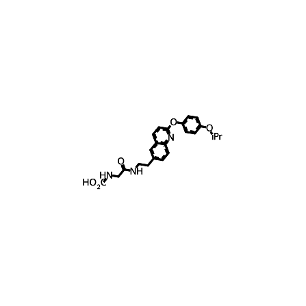 CC(C)Oc1ccc(Oc2ccc3cc(CCNC(=O)CNC(=O)O)ccc3n2)cc1